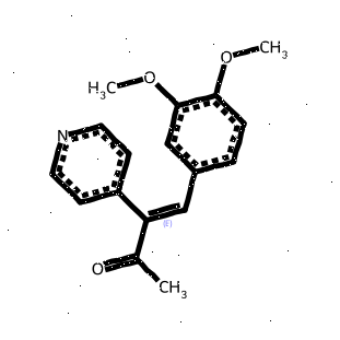 COc1ccc(/C=C(/C(C)=O)c2ccncc2)cc1OC